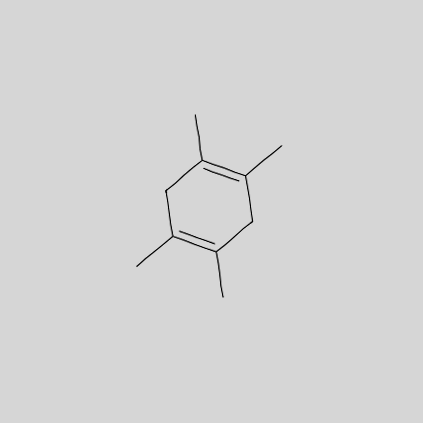 CC1=C(C)CC(C)=C(C)C1